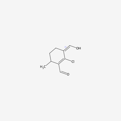 CC1CC/C(=C/O)C(Cl)=C1C=O